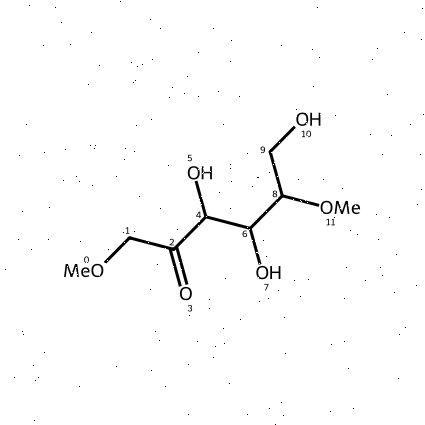 COCC(=O)C(O)C(O)C(CO)OC